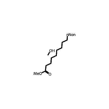 CCCCCCCCCCCCCCCCCC(=O)OC.CO